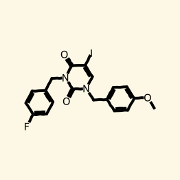 COc1ccc(Cn2cc(I)c(=O)n(Cc3ccc(F)cc3)c2=O)cc1